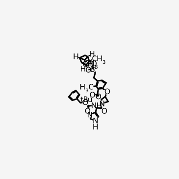 Cc1c(CCB2O[C@@H]3C[C@@H]4C[C@@H](C4(C)C)[C@]3(C)O2)ccc(OC2CN(C(=O)C(NC(=O)OCc3ccccc3)c3c[nH]cn3)C2)c1C(=O)OC(C)(C)C